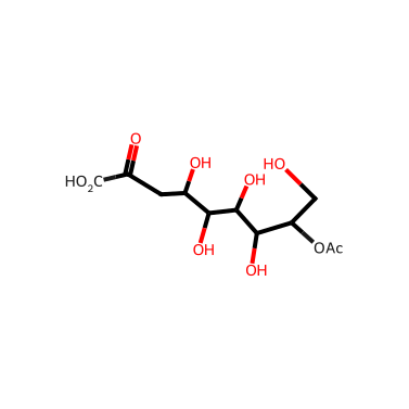 CC(=O)OC(CO)C(O)C(O)C(O)C(O)CC(=O)C(=O)O